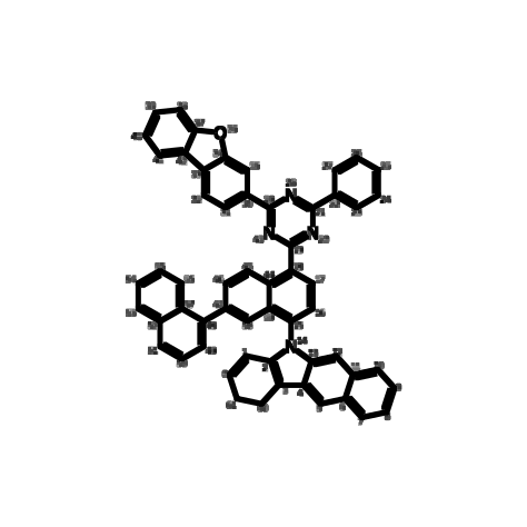 C1=Cc2c(c3cc4ccccc4cc3n2-c2ccc(-c3nc(-c4ccccc4)nc(-c4ccc5c(c4)oc4ccccc45)n3)c3ccc(-c4cccc5ccccc45)cc23)CC1